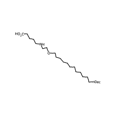 CCCCCCCCCCCCCCCCCCCCCCOCCNCCCCC(=O)O